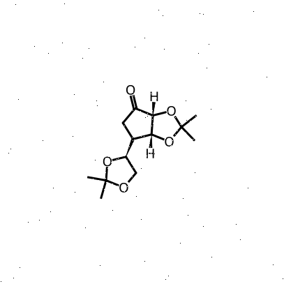 CC1(C)OC[C@H](C2CC(=O)[C@@H]3OC(C)(C)O[C@H]23)O1